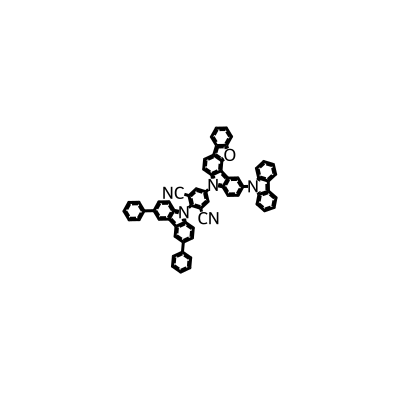 N#Cc1cc(-n2c3ccc(-n4c5ccccc5c5ccccc54)cc3c3c4oc5ccccc5c4ccc32)cc(C#N)c1-n1c2ccc(-c3ccccc3)cc2c2cc(-c3ccccc3)ccc21